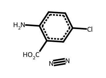 N#N.Nc1ccc(Cl)cc1C(=O)O